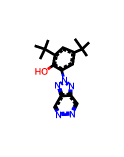 CC(C)(C)c1cc(-n2nc3cnncc3n2)c(O)c(C(C)(C)C)c1